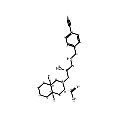 N#Cc1ccc(CNC[C@@H](O)CN2C[C@H]3CCCC[C@H]3C[C@H]2C(=O)O)cc1